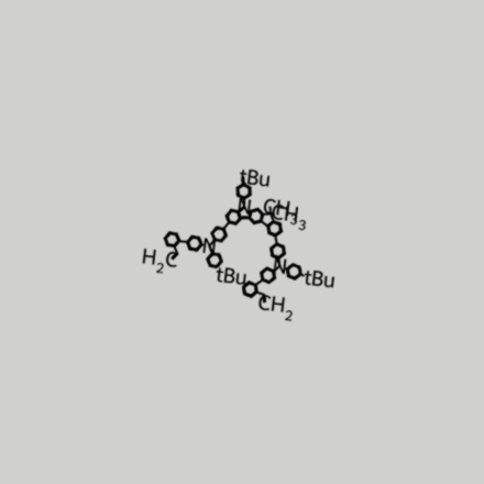 C=Cc1ccccc1-c1ccc(N(c2ccc(-c3ccc4c(c3)-c3cc5c6cc(-c7ccc(N(c8ccc(-c9ccccc9C=C)cc8)c8ccc(C(C)(C)C)cc8)cc7)ccc6n(-c6ccc(C(C)(C)C)cc6)c5cc3C4(C)C)cc2)c2ccc(C(C)(C)C)cc2)cc1